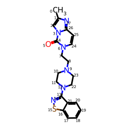 Cc1cn2c(=O)n(CCN3CCN(c4nsc5ccccc45)CC3)ccc2n1